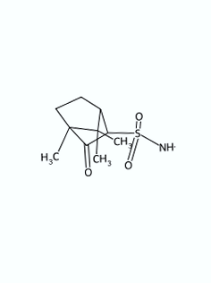 CC12CCC(C(S([NH])(=O)=O)C1=O)C2(C)C